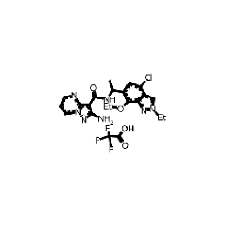 CCOc1c(C(C)NC(=O)c2c(N)nn3cccnc23)cc(Cl)c2cn(CC)nc12.O=C(O)C(F)(F)F